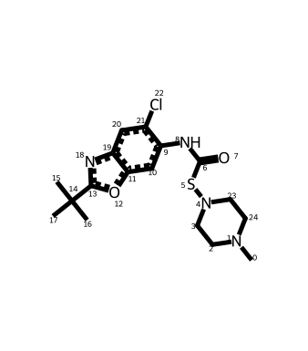 CN1CCN(SC(=O)Nc2cc3oc(C(C)(C)C)nc3cc2Cl)CC1